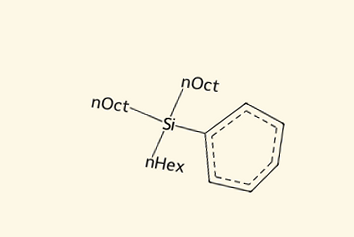 CCCCCCCC[Si](CCCCCC)(CCCCCCCC)c1ccccc1